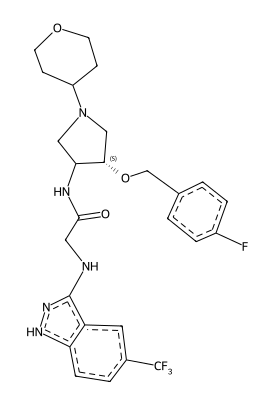 O=C(CNc1n[nH]c2ccc(C(F)(F)F)cc12)NC1CN(C2CCOCC2)C[C@@H]1OCc1ccc(F)cc1